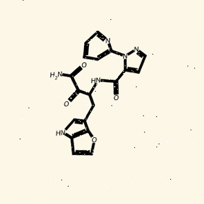 NC(=O)C(=O)C(Cc1c[nH]c2ccoc12)NC(=O)c1ccnn1-c1ccccn1